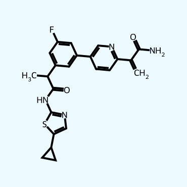 C=C(C(N)=O)c1ccc(-c2cc(F)cc(C(C)C(=O)Nc3ncc(C4CC4)s3)c2)cn1